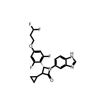 O=C1C(C2CC2)[C@H](c2c(F)cc(OCCC(F)F)cc2F)N1c1ccc2[nH]cnc2c1